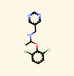 CC(NCc1cncnc1)Oc1c(Cl)cccc1Cl